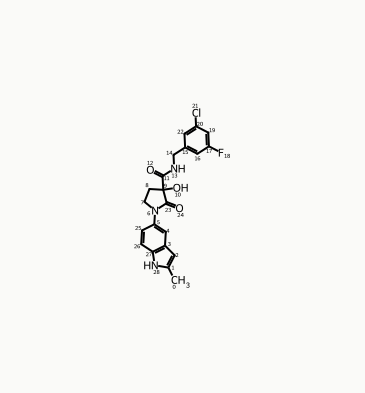 Cc1cc2cc(N3CCC(O)(C(=O)NCc4cc(F)cc(Cl)c4)C3=O)ccc2[nH]1